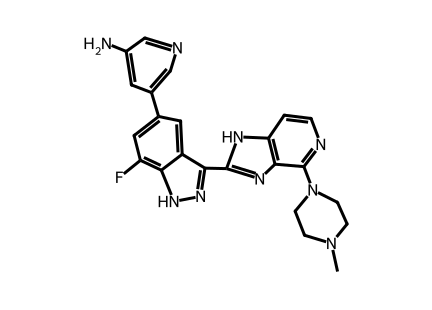 CN1CCN(c2nccc3[nH]c(-c4n[nH]c5c(F)cc(-c6cncc(N)c6)cc45)nc23)CC1